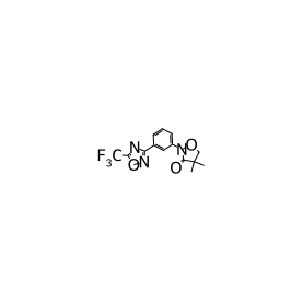 CC1(C)CON(c2cccc(-c3noc(C(F)(F)F)n3)c2)C1=O